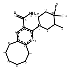 CC1CN(c2nc3c(cc2C(N)=O)CCCCCC3)CCC1(F)F